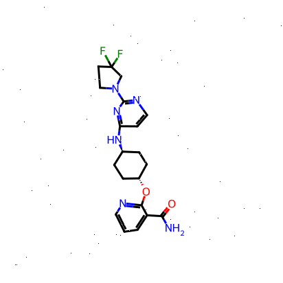 NC(=O)c1cccnc1O[C@H]1CC[C@H](Nc2ccnc(N3CCC(F)(F)C3)n2)CC1